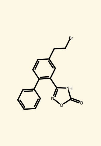 O=c1[nH]c(-c2cc(CCBr)ccc2-c2ccccc2)no1